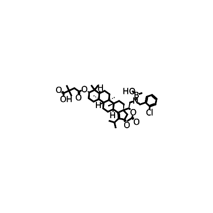 CB(O)N(Cc1ccccc1Cl)C[C@@H](OC(C)=O)[C@@]12CC[C@]3(C)[C@H](CC[C@@H]4[C@@]5(C)CC[C@H](OC(=O)CC(C)(C)C(=O)O)C(C)(C)[C@@H]5CC[C@]43C)C1=C(C(C)C)C(=O)C2